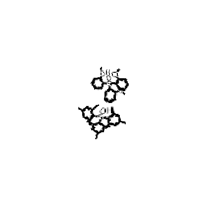 COc1ccccc1[Si](O)(c1ccccc1OC)c1ccccc1OC.Cc1cc(C)c([Si](O)(c2c(C)cc(C)cc2C)c2c(C)cc(C)cc2C)c(C)c1